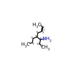 C/C=C\CC(CCC)C(N)CC